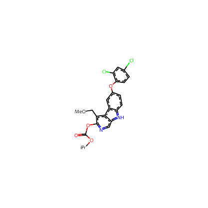 COCc1c(OC(=O)OC(C)C)ncc2[nH]c3ccc(Oc4ccc(Cl)cc4Cl)cc3c12